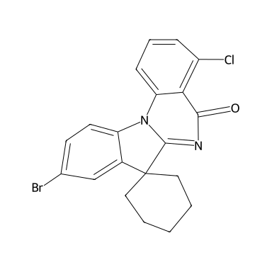 O=c1nc2n(c3cccc(Cl)c13)-c1ccc(Br)cc1C21CCCCC1